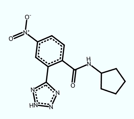 O=C(NC1CCCC1)c1ccc([N+](=O)[O-])cc1-c1nn[nH]n1